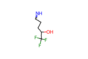 N=CCCC(O)C(F)(F)F